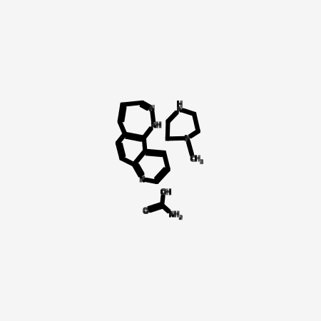 C1=Cc2ccc3ncccc3c2NN=C1.CN1CCNCC1.NC(=O)O